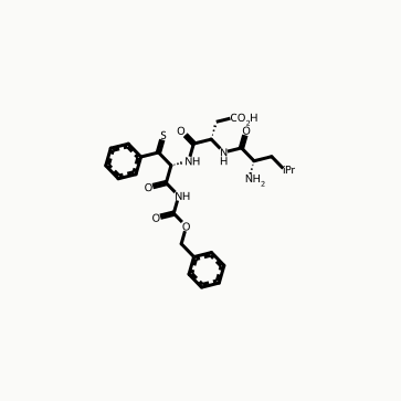 CC(C)C[C@H](N)C(=O)N[C@@H](CC(=O)O)C(=O)N[C@H](C(=O)NC(=O)OCc1ccccc1)C(=S)c1ccccc1